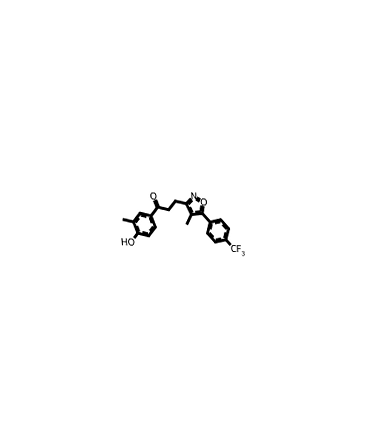 Cc1cc(C(=O)CCc2noc(-c3ccc(C(F)(F)F)cc3)c2C)ccc1O